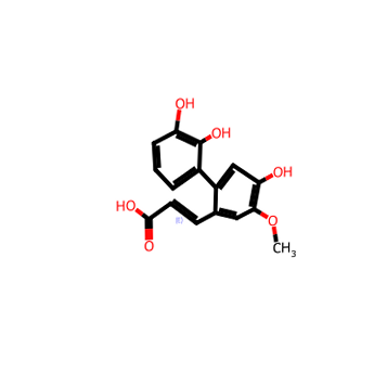 COc1cc(/C=C/C(=O)O)c(-c2cccc(O)c2O)cc1O